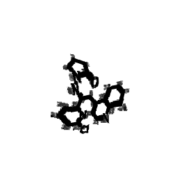 O=C1CCCN1/N=C(\Cc1ccnc2ccccc12)c1cccc(Cl)n1